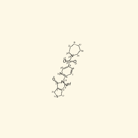 O=c1c2c([nH]n1-c1ccc(S(=O)(=O)N3CCCCCC3)cn1)CSC2